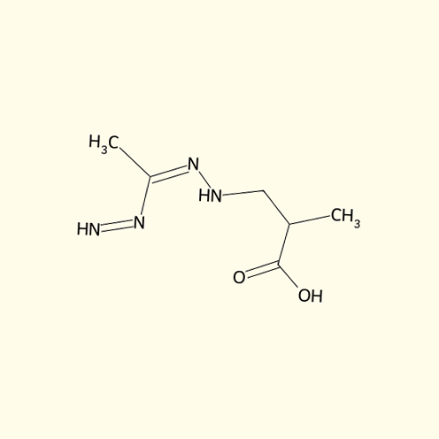 C/C(N=N)=N/NCC(C)C(=O)O